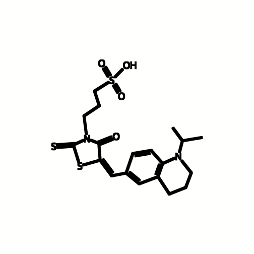 CC(C)N1CCCc2cc(C=C3SC(=S)N(CCCS(=O)(=O)O)C3=O)ccc21